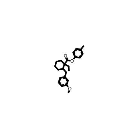 CCC1(C(=O)Oc2ccc(C)cc2)CCCCC1Cc1cccc(OC)c1